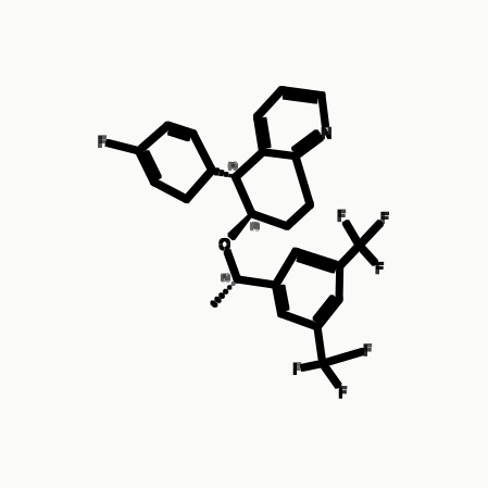 C[C@H](O[C@@H]1CCc2ncccc2[C@H]1C1C=CC(F)=CC1)c1cc(C(F)(F)F)cc(C(F)(F)F)c1